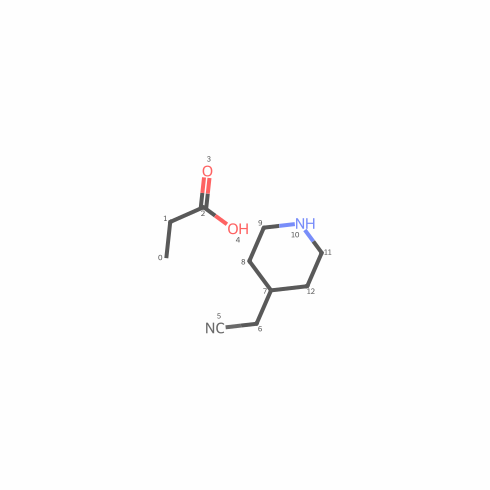 CCC(=O)O.N#CCC1CCNCC1